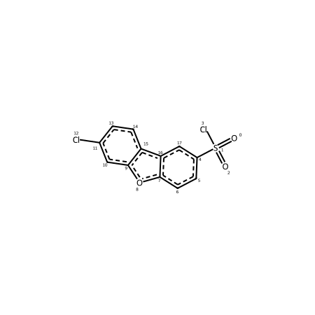 O=S(=O)(Cl)c1ccc2oc3cc(Cl)ccc3c2c1